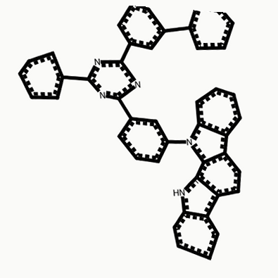 c1ccc(-c2cccc(-c3nc(-c4ccccc4)nc(-c4cccc(-n5c6ccccc6c6ccc7c8ccccc8[nH]c7c65)c4)n3)c2)cc1